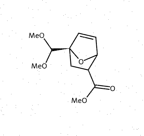 COC(=O)C1C[C@]2(C(OC)OC)C=CC1O2